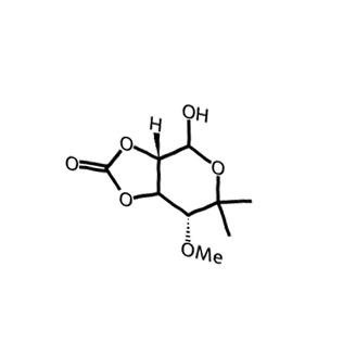 CO[C@@H]1C2OC(=O)O[C@@H]2C(O)OC1(C)C